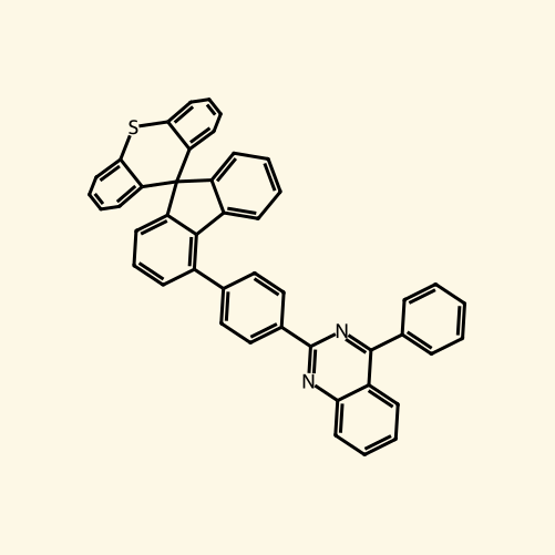 c1ccc(-c2nc(-c3ccc(-c4cccc5c4-c4ccccc4C54c5ccccc5Sc5ccccc54)cc3)nc3ccccc23)cc1